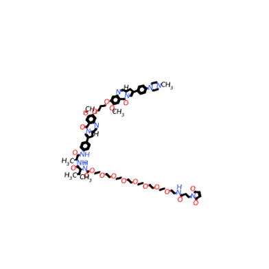 COc1cc2c(cc1OCCCOc1cc3c(cc1OC)C(=O)N1C=C(c4ccc(N5CCN(C)CC5)cc4)C[C@H]1C=N3)N=C[C@@H]1CC(c3ccc(NC(=O)[C@H](C)NC(=O)[C@@H](NC(=O)OCCOCCOCCOCCOCCOCCOCCOCCNC(=O)CCN4C(=O)C=CC4=O)C(C)C)cc3)=CN1C2=O